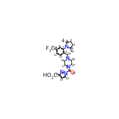 C[C@@H]1CC[C@@H](I)N1c1cc(C(F)(F)F)ccc1CN1CCN(C(=O)n2ccc(C(=O)O)n2)CC1